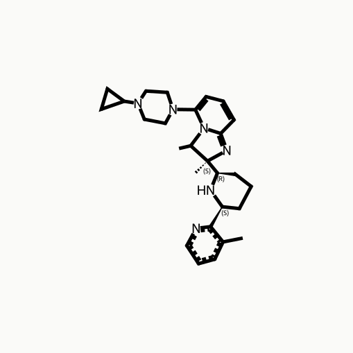 Cc1cccnc1[C@@H]1CCC[C@H]([C@]2(C)N=C3C=CC=C(N4CCN(C5CC5)CC4)N3C2C)N1